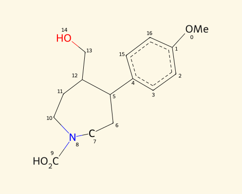 COc1ccc(C2CCN(C(=O)O)CCC2CO)cc1